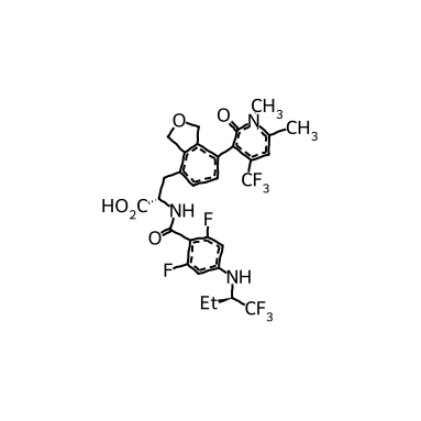 CC[C@@H](Nc1cc(F)c(C(=O)N[C@@H](Cc2ccc(-c3c(C(F)(F)F)cc(C)n(C)c3=O)c3c2COC3)C(=O)O)c(F)c1)C(F)(F)F